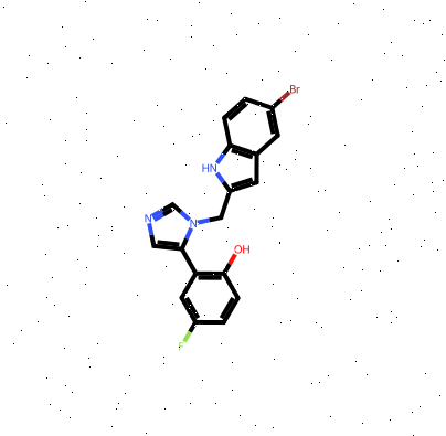 Oc1ccc(F)cc1-c1cncn1Cc1cc2cc(Br)ccc2[nH]1